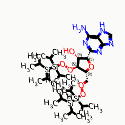 CC(C)[SiH](C(C)C)[Si](OOC[C@H]1O[C@@H](c2nc(N)c3[nH]cnc3n2)[C@@H](O)[C@@H]1OO[Si](C(C)C)(C(C)C)[SiH](C(C)C)C(C)C)(C(C)C)C(C)C